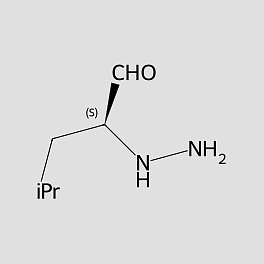 CC(C)C[C@@H](C=O)NN